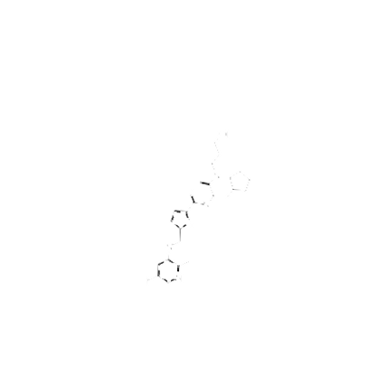 Cc1ncc(Cl)cc1NCc1ccc(C(=O)N[C@@H](CC2CCCC2)C(=O)NCCCO)s1